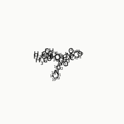 CC1(C(=O)N2CCC3(CC2)C(=O)N([C@H]2C[C@@H](N4CCCCC4)C2)c2cc(B4OC(C)(C)C(C)(C)O4)ccc23)CCOCC1